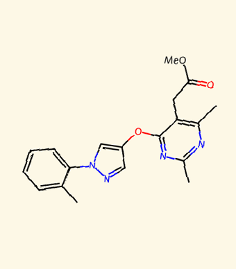 COC(=O)Cc1c(C)nc(C)nc1Oc1cnn(-c2ccccc2C)c1